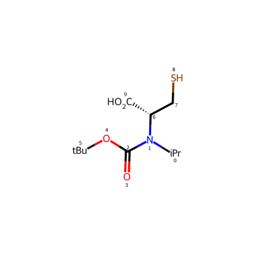 CC(C)N(C(=O)OC(C)(C)C)[C@@H](CS)C(=O)O